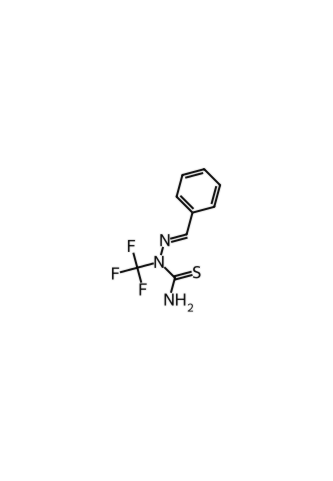 NC(=S)N(N=Cc1ccccc1)C(F)(F)F